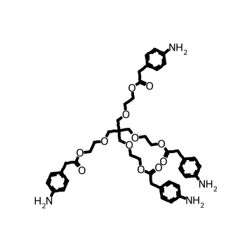 Nc1ccc(CC(=O)OCCOCC(COCCOC(=O)Cc2ccc(N)cc2)(COCCOC(=O)Cc2ccc(N)cc2)COCCOC(=O)Cc2ccc(N)cc2)cc1